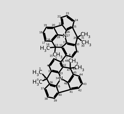 CC1(C)c2ccc(-c3ccc4c5c3C(C)(C)c3cccc6c7cccc(c7n-5c36)C4(C)C)c3c2-n2c4c1cccc4c1cccc(c12)C3(C)C